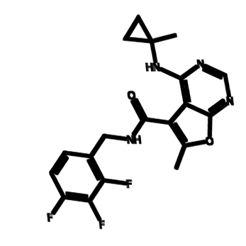 Cc1oc2ncnc(NC3(C)CC3)c2c1C(=O)NCc1ccc(F)c(F)c1F